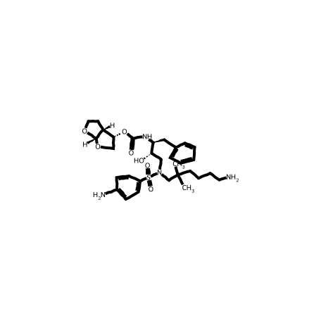 CC(C)(CCCCN)CN(C[C@H](O)[C@H](Cc1ccccc1)NC(=O)O[C@@H]1CO[C@@H]2OCC[C@@H]21)S(=O)(=O)c1ccc(N)cc1